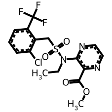 CCN(c1nccnc1C(=O)OC)S(=O)(=O)Cc1c(Cl)cccc1C(F)(F)F